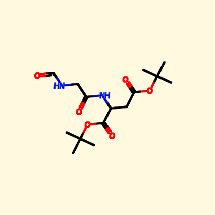 CC(C)(C)OC(=O)CC(NC(=O)CNC=O)C(=O)OC(C)(C)C